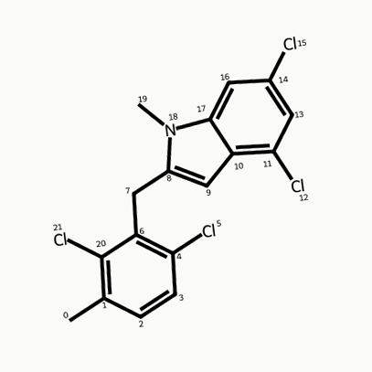 Cc1ccc(Cl)c(Cc2cc3c(Cl)cc(Cl)cc3n2C)c1Cl